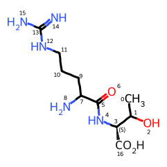 CC(O)[C@H](NC(=O)C(N)CCCNC(=N)N)C(=O)O